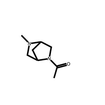 CC(=O)N1CC2CC1CN2C